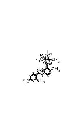 Cc1ccc(NC(=O)c2ccc(C(F)(F)F)nc2C)cc1B1OC(C)(C)C(C)(C)O1